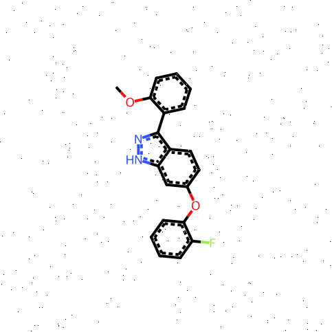 COc1ccccc1-c1n[nH]c2cc(Oc3ccccc3F)ccc12